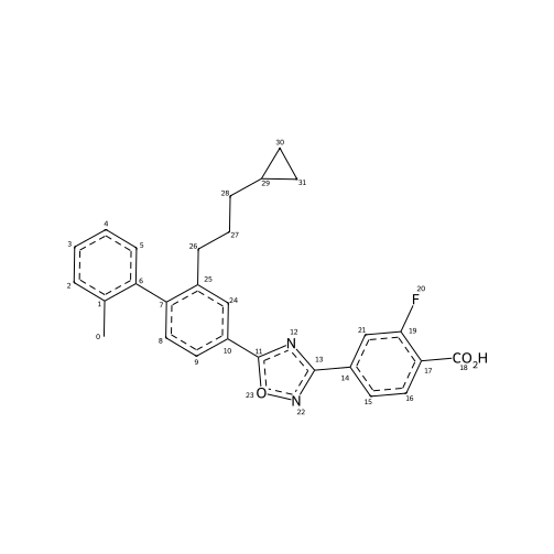 Cc1ccccc1-c1ccc(-c2nc(-c3ccc(C(=O)O)c(F)c3)no2)cc1CCCC1CC1